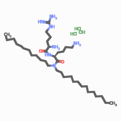 CCCCCCCCCCCCCCN(CCCCCCCCCCCC)C(=O)[C@H](CCCCN)NC(=O)C(N)CCCNC(=N)N.Cl.Cl.Cl